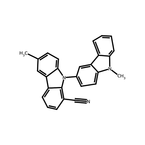 Cc1ccc2c(c1)c1cccc(C#N)c1n2-c1ccc2c(c1)c1ccccc1n2C